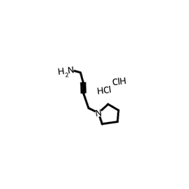 Cl.Cl.NCC#CCN1CCCC1